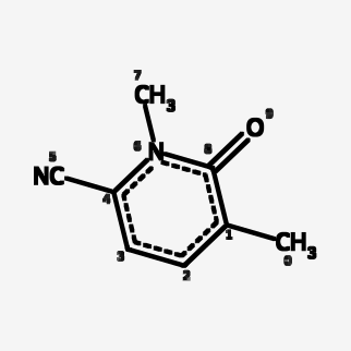 Cc1ccc(C#N)n(C)c1=O